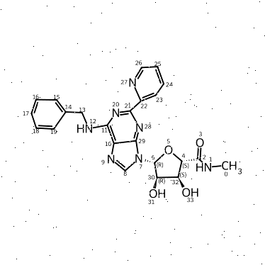 CNC(=O)[C@H]1O[C@@H](n2cnc3c(NCc4ccccc4)nc(-c4ccccn4)nc32)[C@H](O)[C@@H]1O